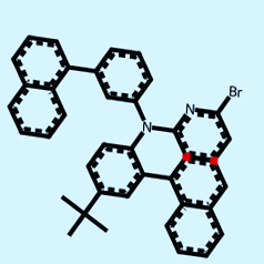 CC(C)(C)c1ccc(N(c2cccc(-c3cccc4ccccc34)c2)c2cccc(Br)n2)c(-c2cccc3ccccc23)c1